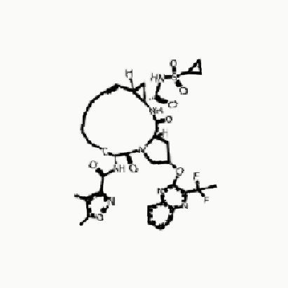 Cc1onc(C(=O)N[C@H]2CCCCCC=C[C@@H]3C[C@@]3(C(=O)NS(=O)(=O)C3CC3)NC(=O)[C@@H]3C[C@@H](Oc4nc5ccccc5nc4C(C)(F)F)CN3C2=O)c1C